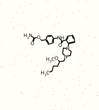 CCCCC(CN1CCN(c2ccccc2C(=O)Nc2ccc(COC(N)=O)cc2)CC1)OC